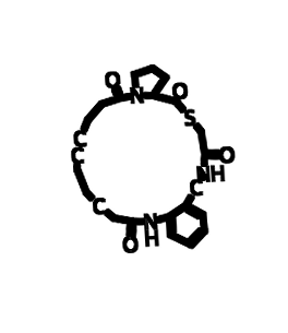 O=C1CSC(=O)C2CCCN2C(=O)CCCCCCCCC(=O)Nc2ccccc2CN1